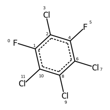 Fc1c(Cl)c(F)c(Cl)c(Cl)c1Cl